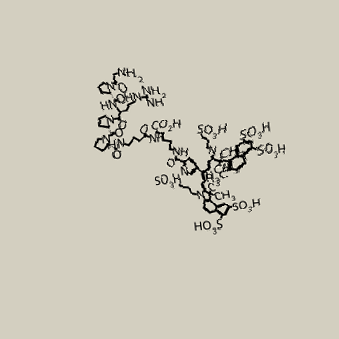 Cc1ccc2c(S(=O)(=O)O)cc(S(=O)(=O)O)cc2c1C(C)(C)C(/C=C/C(=C/C=C1/N(CCCS(=O)(=O)O)c2ccc3c(S(=O)(=O)O)cc(S(=O)(=O)O)cc3c2C1(C)C)c1ccc(C(=O)NCCCC[C@H](NC(=O)CCCNC(=O)[C@@H]2CCCN2C(=O)[C@@H]2CCCN2C(=O)[C@H](CCCNC(=N)N)NC(=O)[C@@H]2CCCN2C(=O)CN)C(=O)O)nc1)=N/CCCS(=O)(=O)O